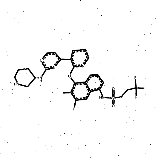 Cc1c(F)cc2c(NS(=O)(=O)CCC(F)(F)F)cccc2c1Oc1ncccc1-c1ccnc(N[C@H]2CCCNC2)n1